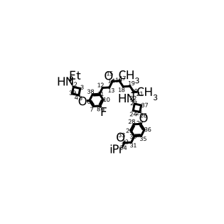 CCN[C@H]1C[C@@H](Oc2cc(F)cc(CCC(=O)C(C)CCC(C)N[C@H]3C[C@@H](Oc4ccc(CC(=O)C(C)C)cc4)C3)c2)C1